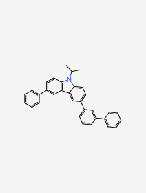 CC(C)n1c2ccc(-c3ccccc3)cc2c2cc(-c3cccc(-c4ccccc4)c3)ccc21